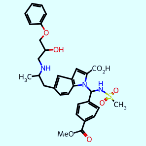 COC(=O)c1ccc(C(NS(C)(=O)=O)n2c(C(=O)O)cc3cc(CC(C)NCC(O)COc4ccccc4)ccc32)cc1